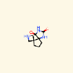 O=C1NC(=O)C2(CCCC23CNC3)N1